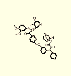 COc1ccc([C@H](Cc2c(Cl)cncc2Cl)OC(=O)c2ccc(COc3cccc([C@@H](NC(=O)O[C@H]4CN5CCC4CC5)c4ccccc4)c3)nc2)cc1OC